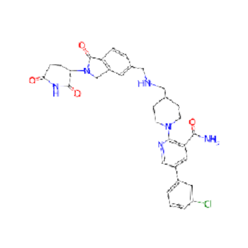 NC(=O)c1cc(-c2cccc(Cl)c2)cnc1N1CCC(CNCc2ccc3c(c2)CN(C2CCC(=O)NC2=O)C3=O)CC1